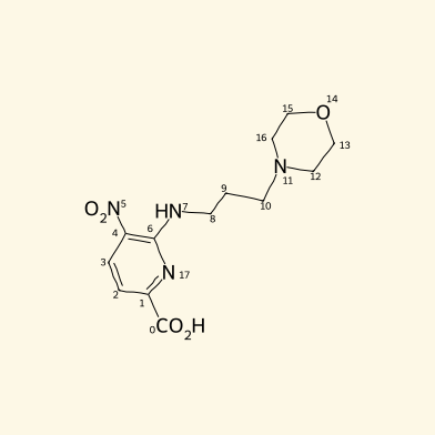 O=C(O)c1ccc([N+](=O)[O-])c(NCCCN2CCOCC2)n1